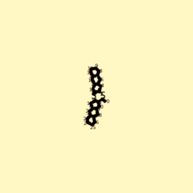 C=C1Sc2cc3cc4ccccc4cc3cc2Sc2cc3cc4ccccc4cc3cc21